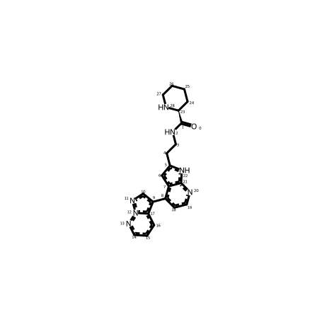 O=C(NCCc1cc2c(-c3cnn4ncccc34)ccnc2[nH]1)[C@@H]1CCCCN1